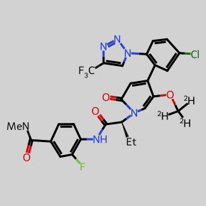 [2H]C([2H])([2H])Oc1cn([C@@H](CC)C(=O)Nc2ccc(C(=O)NC)cc2F)c(=O)cc1-c1cc(Cl)ccc1-n1cc(C(F)(F)F)nn1